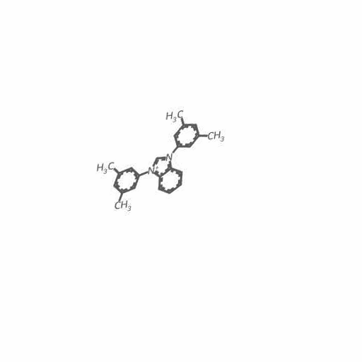 Cc1cc(C)cc(-n2c[n+](-c3cc(C)cc(C)c3)c3ccccc32)c1